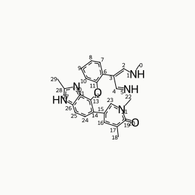 CN/C=C(\C=N)c1ccccc1Oc1c(-c2cc(C)c(=O)n(C)c2)ccc2[nH]c(C)nc12